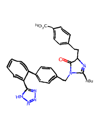 CCCCC1=NC(Cc2ccc(C(=O)O)cc2)C(=O)N1Cc1ccc(-c2ccccc2-c2nnn[nH]2)cc1